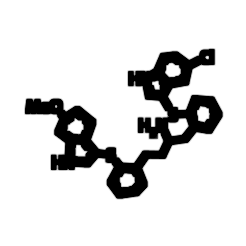 COc1ccc2c(Sc3ccccc3CCC(N)Cc3ccccc3Sc3c[nH]c4ccc(Cl)cc34)c[nH]c2c1